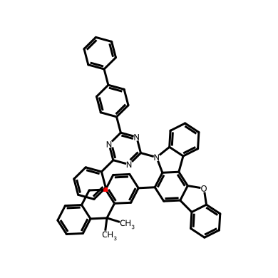 CC1(C)c2ccccc2Cc2ccc(-c3cc4c5ccccc5oc4c4c5ccccc5n(-c5nc(-c6ccccc6)nc(-c6ccc(-c7ccccc7)cc6)n5)c34)cc21